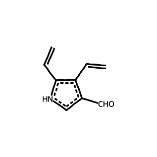 C=Cc1[nH]cc(C=O)c1C=C